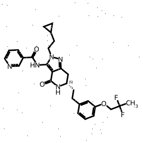 CC(F)(F)COc1cccc(CC[C@H]2Cc3nn(CCC4CC4)c(NC(=O)c4cccnc4)c3C(=O)N2)c1